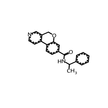 CC(NC(=O)c1ccc2c(c1)OCc1cnccc1-2)c1ccccc1